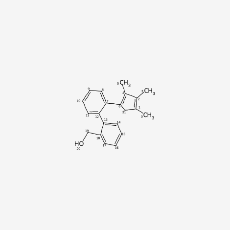 CC1=C(C)C(C)=C(c2ccccc2-c2ccccc2CO)C1